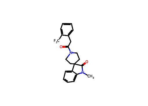 CN1C(=O)C2(CCN(C(=O)Cc3ccccc3C(F)(F)F)CC2)c2ccccc21